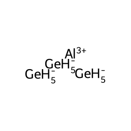 [Al+3].[GeH5-].[GeH5-].[GeH5-]